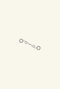 C(=CCOCc1ccccc1)COCc1ccccc1